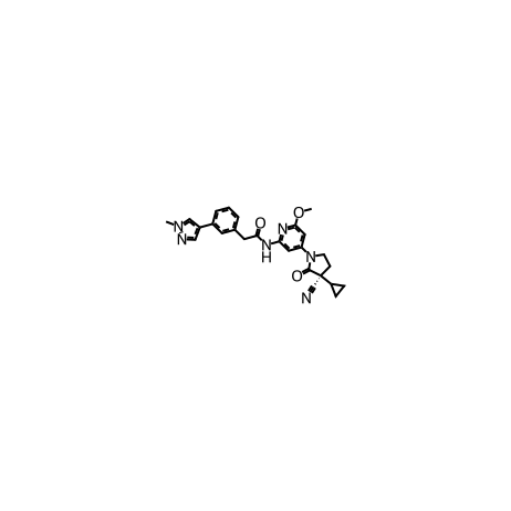 COc1cc(N2CC[C@@](C#N)(C3CC3)C2=O)cc(NC(=O)Cc2cccc(-c3cnn(C)c3)c2)n1